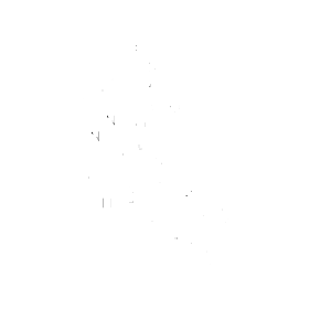 COC(=O)c1sccc1C(=O)N/N=C(/C)c1csc(-c2ccc(Cl)c(Cl)c2)c1O